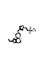 CCc1cc2c(s1)CCO[C@@]21CCN(Cc2cnn(CCS(=O)(=O)NC)c2)[C@@H](C)C1